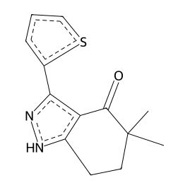 CC1(C)CCc2[nH]nc(-c3cccs3)c2C1=O